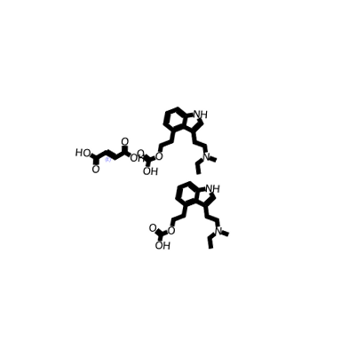 CCN(C)CCc1c[nH]c2cccc(CCOC(=O)O)c12.CCN(C)CCc1c[nH]c2cccc(CCOC(=O)O)c12.O=C(O)/C=C/C(=O)O